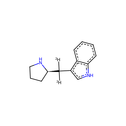 [2H]C([2H])(c1c[nH]c2ccccc12)[C@H]1CCCN1